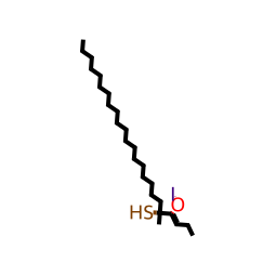 CC/C=C(\OI)C(C)(S)CCCCCCCCCCCCCCCCCCC